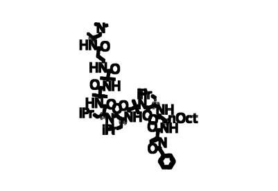 CCCCCCCC[C@H](NC(=O)c1coc(-c2ccccc2)n1)C(=O)N[C@@H](CC(C)C)C(=O)NC(C)(C)C(=O)N[C@@H](CC(C)C)C(=O)N[C@@H](CC(C)C)C(=O)NC(C)(C)C(=O)NC(C)(C)C(=O)NCCC(=O)N[C@@H](C)CN(C)C